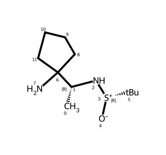 C[C@@H](N[S@@+]([O-])C(C)(C)C)C1(N)CCCC1